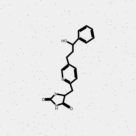 O=C1NC(=O)C(Cc2ccc(CCC(O)c3ccccc3)cn2)S1